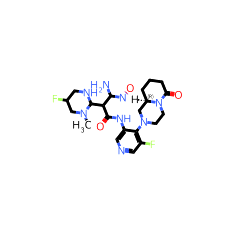 CN1CC(F)CNC1C(C(=O)Nc1cncc(F)c1N1CCN2C(=O)CCC[C@@H]2C1)C(N)N=O